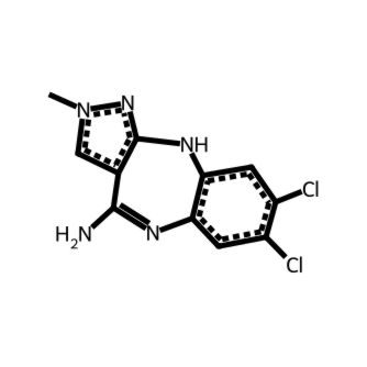 Cn1cc2c(n1)Nc1cc(Cl)c(Cl)cc1N=C2N